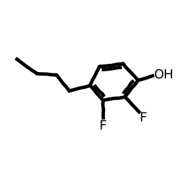 CCCCc1ccc(O)c(F)c1F